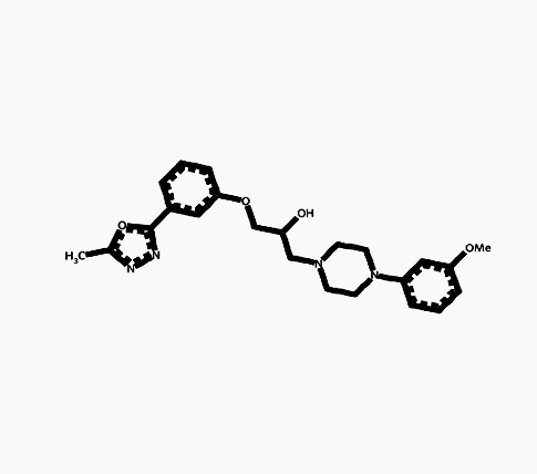 COc1cccc(N2CCN(CC(O)COc3cccc(-c4nnc(C)o4)c3)CC2)c1